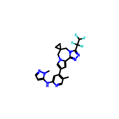 Cc1cnc(Nc2ccnn2C)cc1-c1cc2n(c1)CC1(CC1)Cn1c-2nnc1C(F)(F)C(F)F